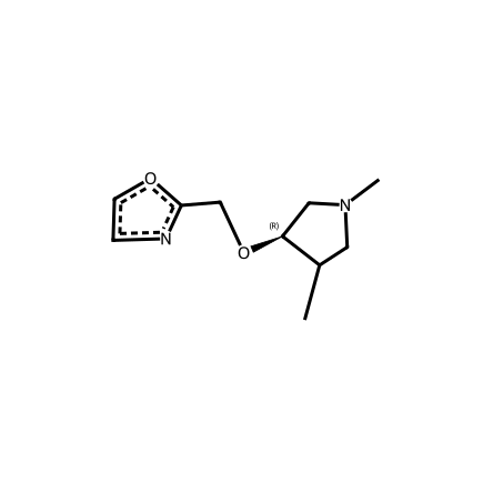 CC1CN(C)C[C@@H]1OCc1ncco1